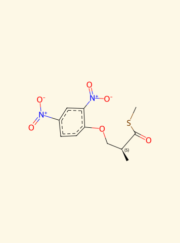 CSC(=O)[C@@H](C)COc1ccc([N+](=O)[O-])cc1[N+](=O)[O-]